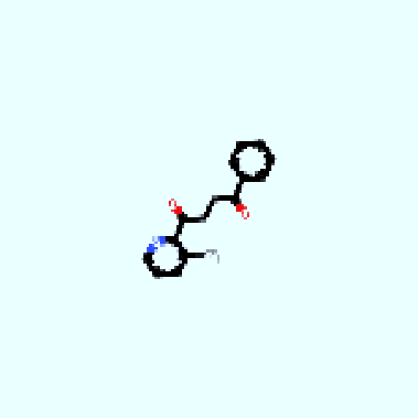 O=C(CCC(=O)c1ncccc1C(F)(F)F)c1ccccc1